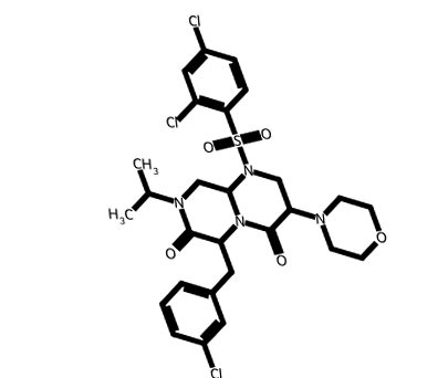 CC(C)N1CC2N(C(=O)C(N3CCOCC3)CN2S(=O)(=O)c2ccc(Cl)cc2Cl)C(Cc2cccc(Cl)c2)C1=O